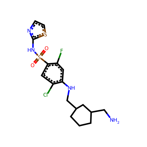 NCC1CCCC(CNc2cc(F)c(S(=O)(=O)Nc3nccs3)cc2Cl)C1